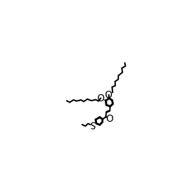 CCCCCCCCCCOc1ccc(C=CC(=O)c2ccc(SCCC)cc2)cc1OCCCCCCCCCC